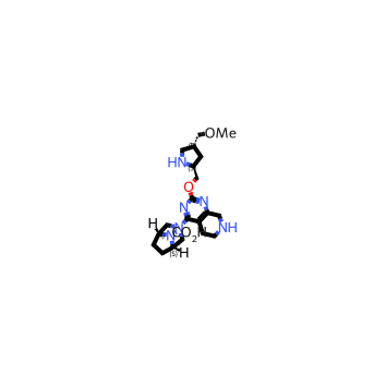 COC[C@H]1CN[C@H](COc2nc3c(c(N4C[C@H]5CC[C@@H](C4)N5C(=O)O)n2)CCNC3)C1